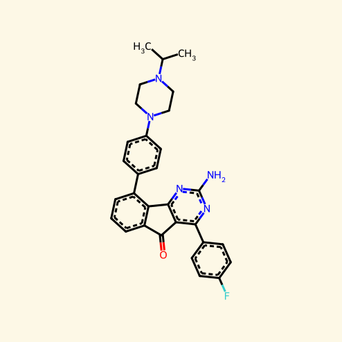 CC(C)N1CCN(c2ccc(-c3cccc4c3-c3nc(N)nc(-c5ccc(F)cc5)c3C4=O)cc2)CC1